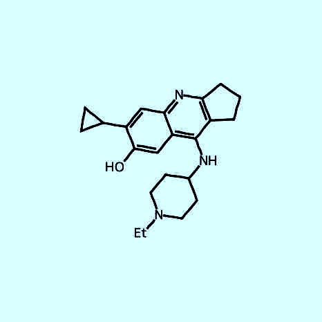 CCN1CCC(Nc2c3c(nc4cc(C5CC5)c(O)cc24)CCC3)CC1